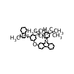 C[n+]1cn(-c2cc(Oc3ccc4c5ccccc5n(-c5cc(C(C)(C)C)ccn5)c4c3)cc([Si](C)(C)C)c2)c2ccccc21